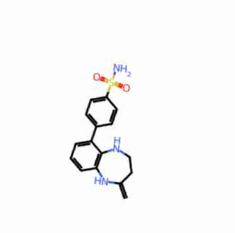 C=C1CCNc2c(cccc2-c2ccc(S(N)(=O)=O)cc2)N1